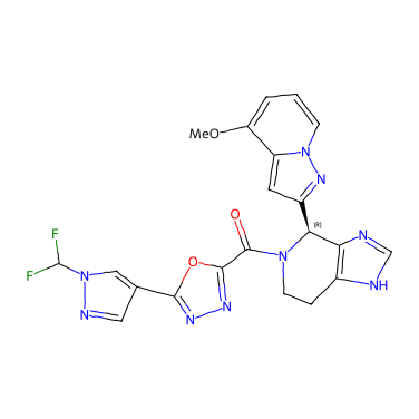 COc1cccn2nc([C@H]3c4nc[nH]c4CCN3C(=O)c3nnc(-c4cnn(C(F)F)c4)o3)cc12